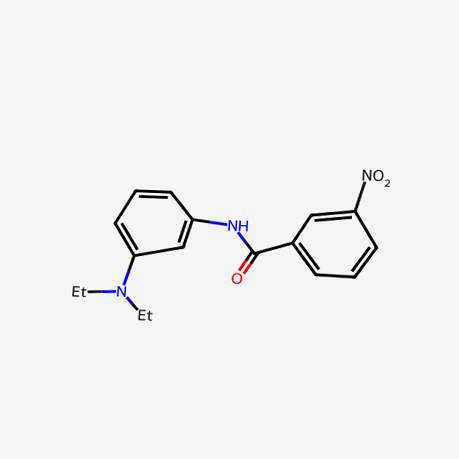 CCN(CC)c1cccc(NC(=O)c2cccc([N+](=O)[O-])c2)c1